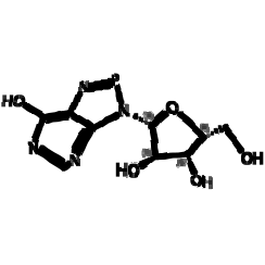 OC[C@H]1O[C@@H](n2pnc3c(O)ncnc32)[C@H](O)[C@@H]1O